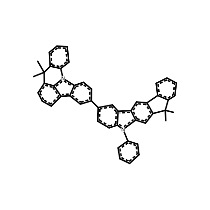 CC1(C)c2ccccc2-c2cc3c4cc(-c5ccc6c(c5)c5cccc7c5n6-c5ccccc5C7(C)C)ccc4n(-c4ccccc4)c3cc21